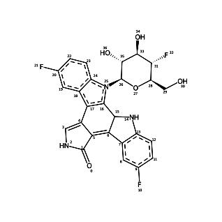 O=C1NC=C2C1=C1c3cc(F)ccc3NC1c1c2c2cc(F)ccc2n1[C@@H]1O[C@H](CO)[C@@H](F)[C@H](O)[C@H]1O